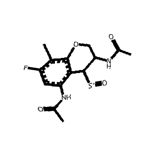 CC(=O)Nc1cc(F)c(C)c2c1C([S+]=O)C(NC(C)=O)CO2